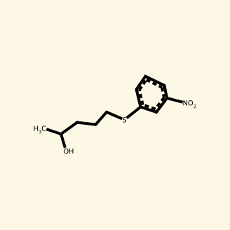 CC(O)CCCSc1cccc([N+](=O)[O-])c1